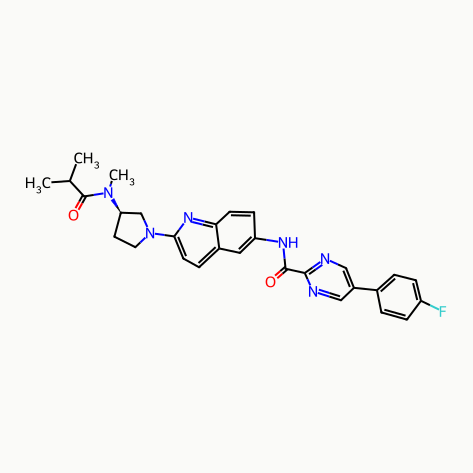 CC(C)C(=O)N(C)[C@@H]1CCN(c2ccc3cc(NC(=O)c4ncc(-c5ccc(F)cc5)cn4)ccc3n2)C1